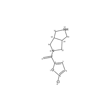 C=C(c1ccc(Cl)o1)N1CC2CNCC2C1